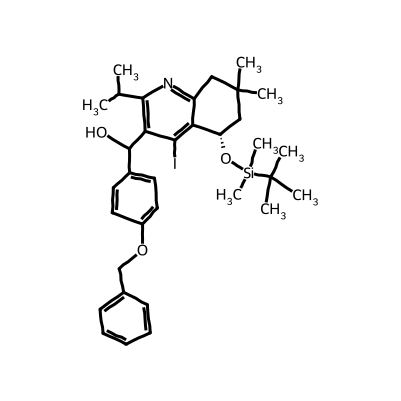 CC(C)c1nc2c(c(I)c1C(O)c1ccc(OCc3ccccc3)cc1)[C@@H](O[Si](C)(C)C(C)(C)C)CC(C)(C)C2